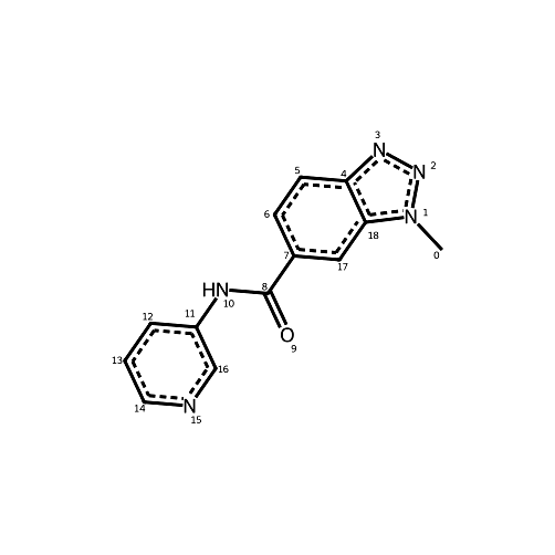 Cn1nnc2ccc(C(=O)Nc3cccnc3)cc21